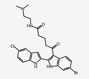 CN(C)CCNC(=O)CCCC(=O)c1c(-c2cc3cc(Cl)ccc3[nH]2)[nH]c2cc(Br)ccc12